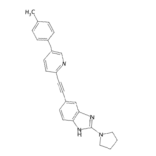 Cc1ccc(-c2ccc(C#Cc3ccc4[nH]c(N5CCCC5)nc4c3)nc2)cc1